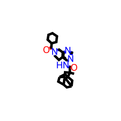 CC(C)(C(=O)Nc1ncnc2c1CCN(C(=O)C1CCCCC1)C2)C12CC3CC(CC(C3)C1)C2